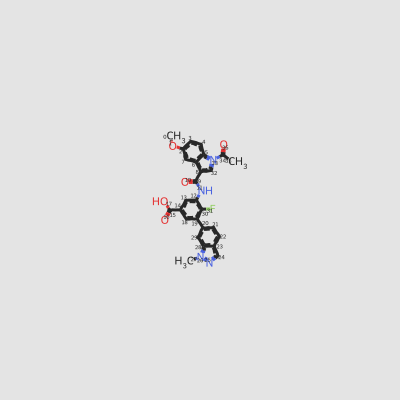 COc1ccc2c(c1)c(C(=O)Nc1cc(C(=O)O)cc(-c3ccc4cnn(C)c4c3)c1F)cn2C(C)=O